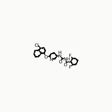 O=C(NC(=O)c1c(F)cccc1F)Nc1ccc(Oc2ccc(Cl)c3ccccc23)nc1